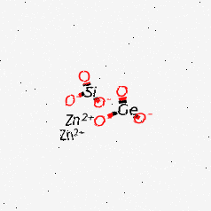 O=[Si]([O-])[O-].[O]=[Ge]([O-])[O-].[Zn+2].[Zn+2]